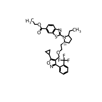 CCOC(=O)c1ccc2nc(N3C(CC)CC[C@H]3CCOCc3c(-c4ccccc4C(F)(F)F)noc3C3CC3)sc2c1